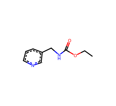 CCOC(=O)NCc1[c]nccc1